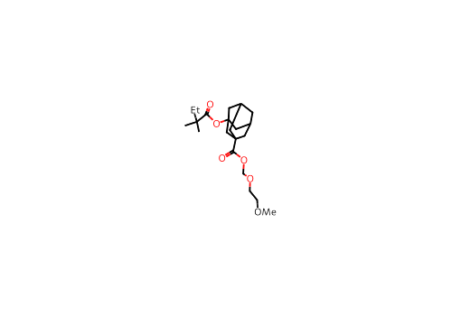 CCC(C)(C)C(=O)OC12CC3CC(C1)CC(C(=O)OCOCCOC)(C3)C2